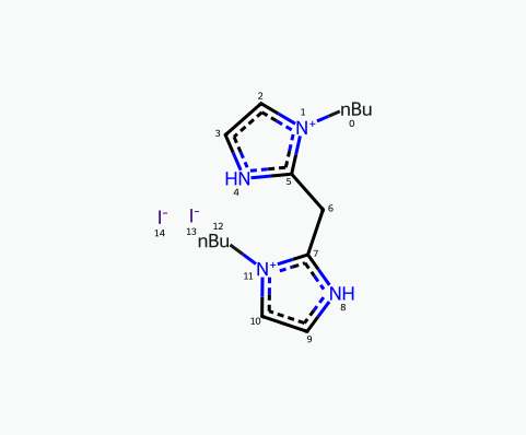 CCCC[n+]1cc[nH]c1Cc1[nH]cc[n+]1CCCC.[I-].[I-]